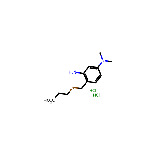 CN(C)c1ccc(CSCCC(=O)O)c(N)c1.Cl.Cl